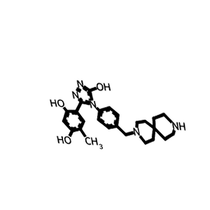 Cc1cc(-c2nnc(O)n2-c2ccc(CN3CCC4(CCNCC4)CC3)cc2)c(O)cc1O